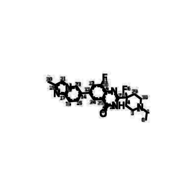 CCN1CCC(F)(c2nc3c(F)cc(-c4ccc5nc(C)cn5c4)cc3c(=O)[nH]2)CC1